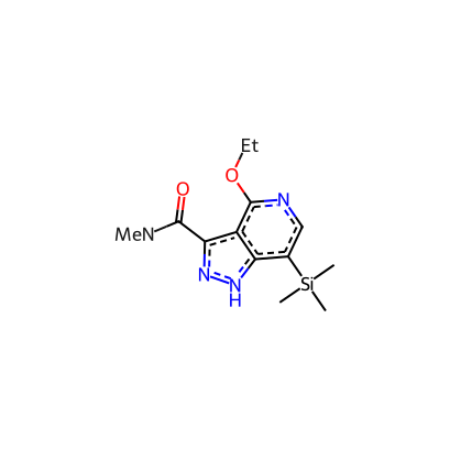 CCOc1ncc([Si](C)(C)C)c2[nH]nc(C(=O)NC)c12